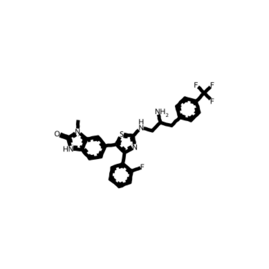 Cn1c(=O)[nH]c2ccc(-c3sc(NCC(N)Cc4ccc(C(F)(F)F)cc4)nc3-c3ccccc3F)cc21